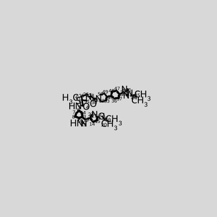 CS[C@@]1(C(=O)Nc2ccc3[nH]nc(-c4ccc(OC(C)C)nc4)c3c2)CCN(CC(=O)N2CC=C(c3ccc(-c4ncn(C(C)C)n4)cc3)CC2)C1